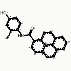 O=C(Nc1ccc(O)cc1F)c1ccc2ccc3cccc4ccc1c2c34